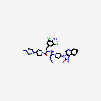 CN1CCN(C2CCN(C(=O)[C@@H](Cc3cc(Br)c(N)c(Br)c3)NC(=NC#N)N3CCC(n4c(=O)[nH]c5c6ccccc6ncc54)CC3)CC2)CC1